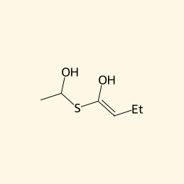 CC/C=C(\O)SC(C)O